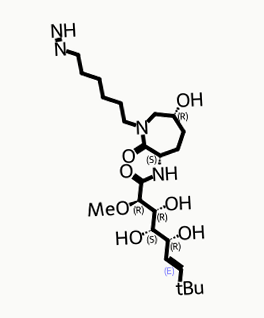 CO[C@@H](C(=O)N[C@H]1CC[C@@H](O)CN(CCCCCCN=N)C1=O)[C@H](O)[C@@H](O)[C@H](O)/C=C/C(C)(C)C